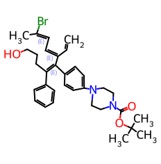 C=CC(=C\C=C(/C)Br)/C(=C(\CCCO)c1ccccc1)c1ccc(N2CCN(C(=O)OC(C)(C)C)CC2)cc1